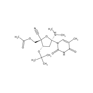 CC(=O)OC[C@@]1(C#N)O[C@](n2cc(C)c(=O)[nH]c2=O)([SiH](C)C)C[C@@H]1OC(C)(C)C